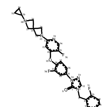 O=c1n(Cc2c(F)cccc2F)cnn1-c1ccc(Oc2cc(N3CC4(C3)CN(C3CC3)C4)ncc2F)c(F)c1